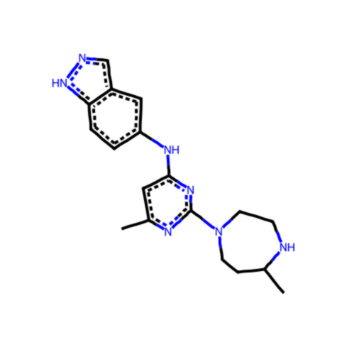 Cc1cc(Nc2ccc3[nH]ncc3c2)nc(N2CCNC(C)CC2)n1